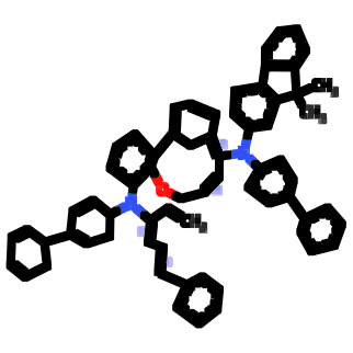 C=C/C(=C\C=C\c1ccccc1)N(c1cccc2c1OC/C=C\C(N(c1ccc(-c3ccccc3)cc1)c1ccc3c(c1)C(C)(C)c1ccccc1-3)=C1\C=CC=C2C1)C1C=CC(C2C=CC=CC2)=CC1